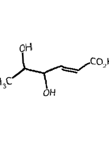 CC(O)C(O)/C=C/C(=O)O